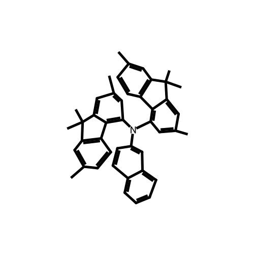 Cc1ccc2c(c1)C(C)(C)c1cc(C)cc(N(c3ccc4ccccc4c3)c3cc(C)cc4c3-c3ccc(C)cc3C4(C)C)c1-2